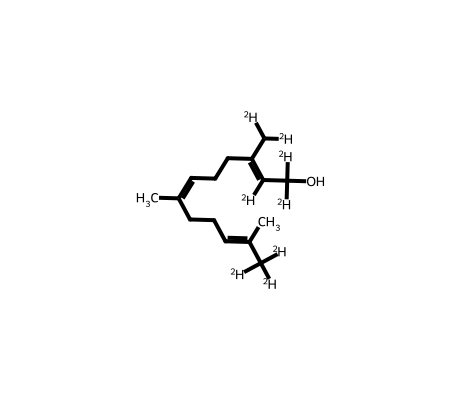 [2H]C(=C(CCC=C(C)CCC=C(C)C([2H])([2H])[2H])C([2H])[2H])C([2H])([2H])O